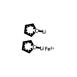 [Fe+2].[Li][c-]1cccc1.[Li][c-]1cccc1